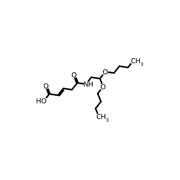 CCCCOC(CNC(=O)CC=CC(=O)O)OCCCC